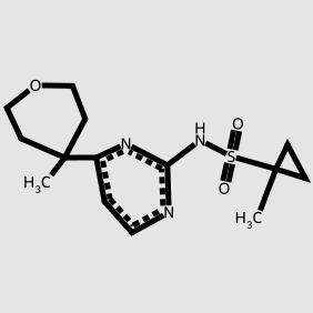 CC1(c2ccnc(NS(=O)(=O)C3(C)CC3)n2)CCOCC1